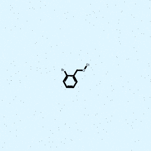 CCOCc1ccccc1Br